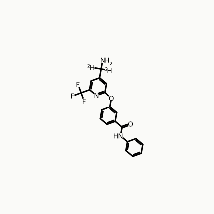 [2H]C([2H])(N)c1cc(Oc2cccc(C(=O)Nc3ccccc3)c2)nc(C(F)(F)F)c1